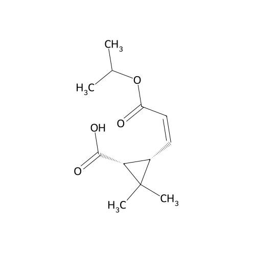 CC(C)OC(=O)/C=C\[C@H]1[C@@H](C(=O)O)C1(C)C